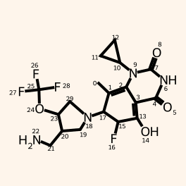 CC1=c2c(c(=O)[nH]c(=O)n2C2CC2)=C(O)C(F)C1N1CC(CN)C(OC(F)(F)F)C1